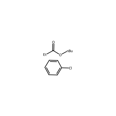 CCCCOC(=O)CC.Clc1ccccc1